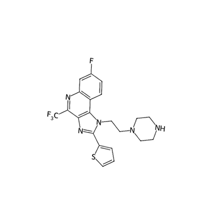 Fc1ccc2c(c1)nc(C(F)(F)F)c1nc(-c3cccs3)n(CCN3CCNCC3)c12